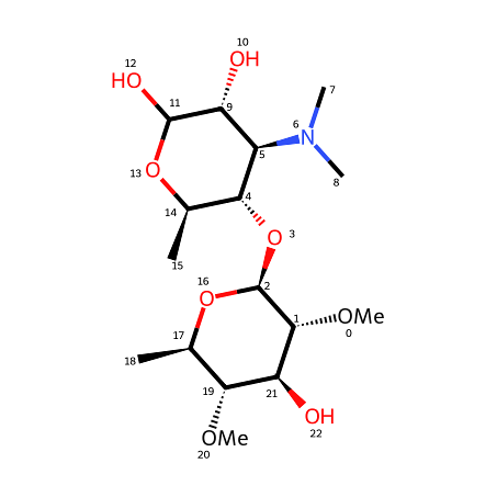 CO[C@H]1[C@H](O[C@H]2[C@H](N(C)C)[C@@H](O)C(O)O[C@@H]2C)O[C@H](C)[C@@H](OC)[C@@H]1O